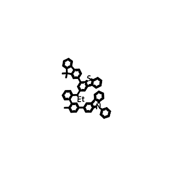 CCC(c1cc(-c2ccc3c(c2)C(C)(C)c2ccccc2-3)c2sc3ccccc3c2c1)c1ccccc1-c1cc(-c2ccc3c(c2)c2ccccc2n3-c2ccccc2)ccc1C